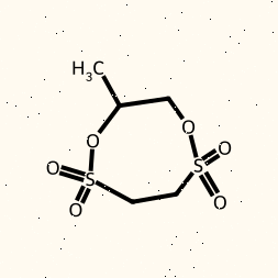 CC1COS(=O)(=O)CCS(=O)(=O)O1